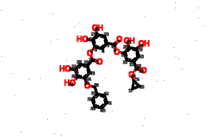 O=C(Oc1cc(C(=O)Oc2cc(C(=O)OC3CC3)cc(O)c2O)cc(O)c1O)c1cc(O)c(O)c(OCc2ccccc2)c1